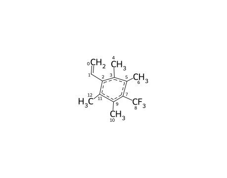 C=Cc1c(C)c(C)c(C(F)(F)F)c(C)c1C